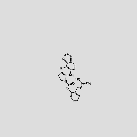 O=C(Oc1ccccc1CON(O)O)N1CCN=C1Nc1ccc2nccnc2c1Br